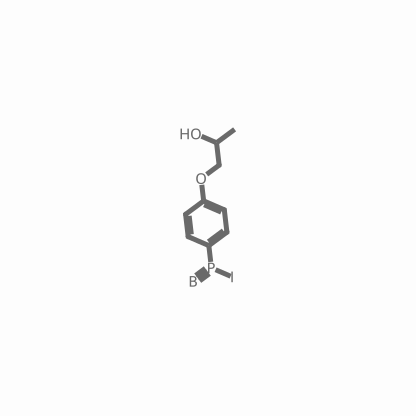 B#P(I)c1ccc(OCC(C)O)cc1